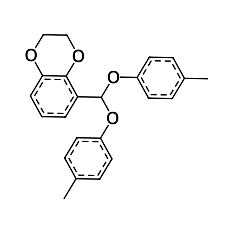 Cc1ccc(OC(Oc2ccc(C)cc2)c2cccc3c2OCCO3)cc1